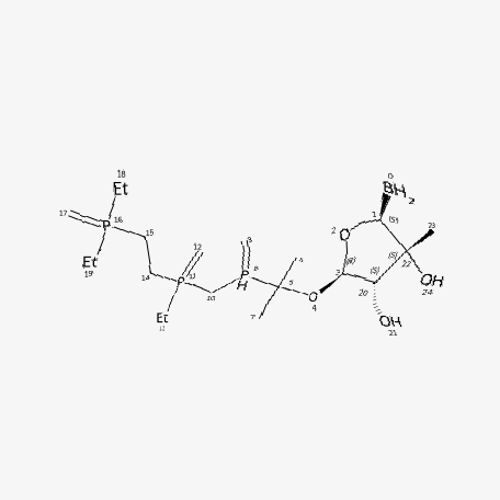 B[C@@H]1O[C@H](OC(C)(C)[PH](=C)CP(=C)(CC)CCP(=C)(CC)CC)[C@@H](O)[C@@]1(C)O